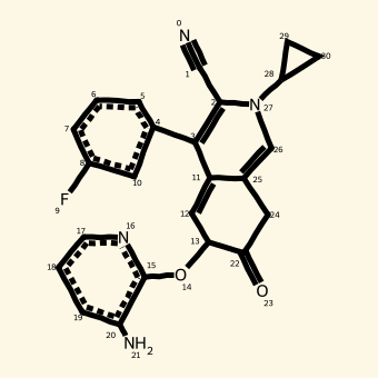 N#CC1=C(c2cccc(F)c2)C2=CC(Oc3ncccc3N)C(=O)CC2=CN1C1CC1